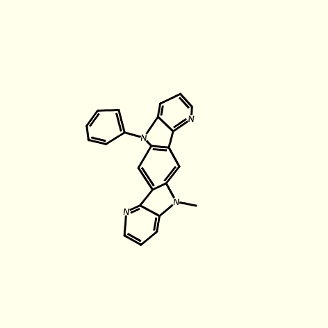 Cn1c2cc3c4ncccc4n(-c4ccccc4)c3cc2c2ncccc21